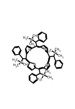 C[N+](C)(C)C(c1ccccc1)c1c2nc(c(C(c3ccccc3)[N+](C)(C)C)c3ccc([nH]3)c(C(c3ccccc3)[N+](C)(C)C)c3nc(c(C(c4ccccc4)[N+](C)(C)C)c4ccc1[nH]4)C=C3)C=C2